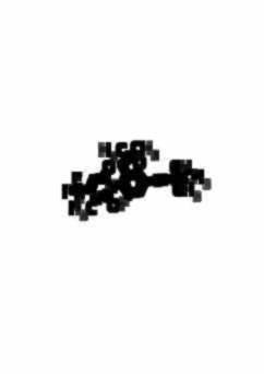 Cn1c(C(F)(F)F)cc(=O)n(-c2c(F)cc(C#C[Si](C)(C)C)c3c2CC(C)(C)O3)c1=O